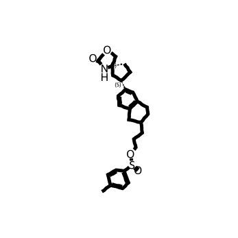 Cc1ccc(S(=O)OCCCC2CCc3cc([C@H]4CC[C@]5(COC(=O)N5)C4)ccc3C2)cc1